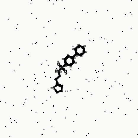 O=S(=O)(NCCC1=CCCS1)c1ccc(-c2ccccc2)cc1